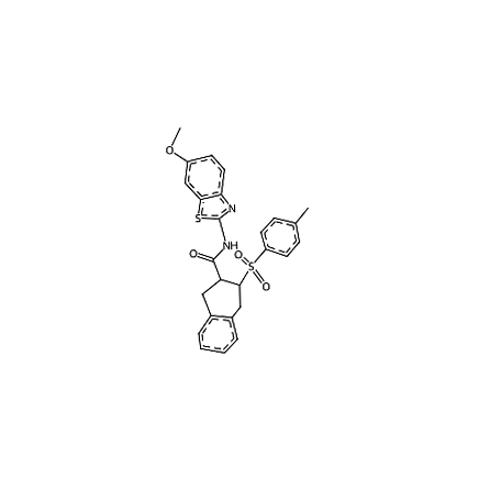 COc1ccc2nc(NC(=O)C3Cc4ccccc4CC3S(=O)(=O)c3ccc(C)cc3)sc2c1